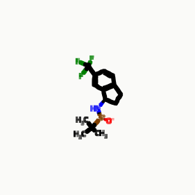 CC(C)(C)[S@@+]([O-])N[C@@H]1CCc2ccc(C(F)(F)F)cc21